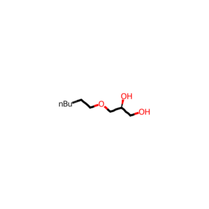 CCCCCCOC[C@@H](O)CO